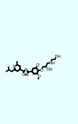 COc1cc(-c2noc(-c3cc(C)nc(CC(C)C)c3)n2)cc(Cl)c1OC[C@@H](O)CNCCO